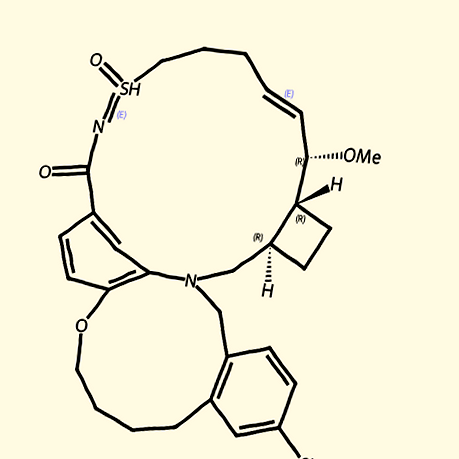 CO[C@H]1/C=C/CCC/[SH](=O)=N\C(=O)c2ccc3c(c2)N(Cc2ccc(Cl)cc2CCCCO3)C[C@@H]2CC[C@H]21